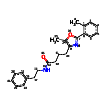 Cc1ccccc1-c1nc(CCCC(=O)NCCc2ccccc2)c(C)o1